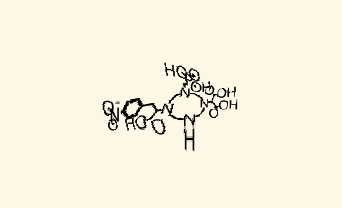 O=C(O)C(Cc1ccc([N+](=O)[O-])cc1)N1CCNCCN(C(C(=O)O)C(=O)O)CCN(CP(=O)(O)O)CC1